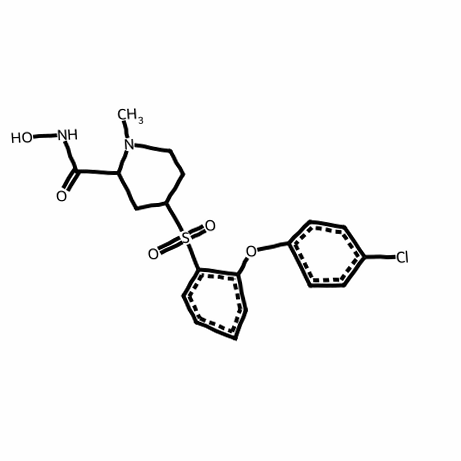 CN1CCC(S(=O)(=O)c2ccccc2Oc2ccc(Cl)cc2)CC1C(=O)NO